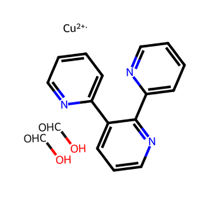 O=[C-]O.O=[C-]O.[Cu+2].c1ccc(-c2cccnc2-c2ccccn2)nc1